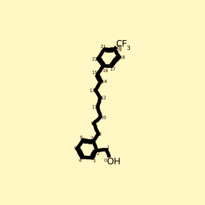 OCc1ccccc1CCCCCCC=Cc1ccc(C(F)(F)F)cc1